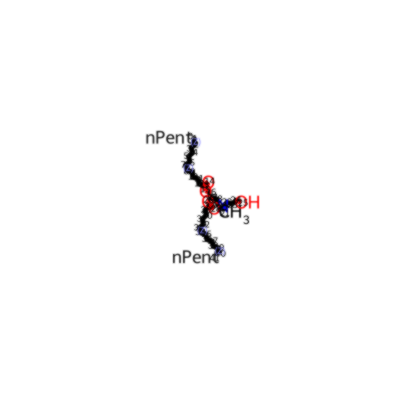 CCCCC/C=C\CCCC/C=C\CCCCC(=O)OC[C@H](CCN(C)CCCO)OC(=O)CCCC/C=C\CCCC/C=C\CCCCC